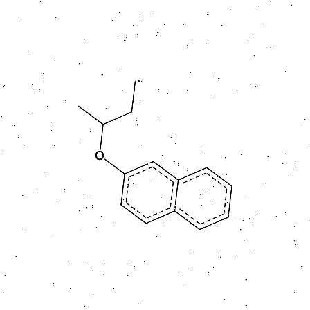 [CH2]CC(C)Oc1ccc2ccccc2c1